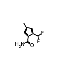 CC1=C=C(C(N)=O)C(C(F)F)=C1